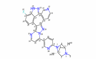 CN1C[C@@H]2C[C@H]1CN2c1ccc(-c2ccnc3c(-c4ccc(F)c5[nH]ncc45)c(-c4ccncc4)nn23)cn1